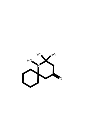 CCCC1(CCC)CC(=O)CC2(CCCCC2)N1O